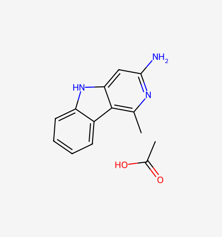 CC(=O)O.Cc1nc(N)cc2[nH]c3ccccc3c12